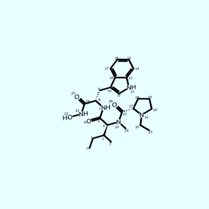 CCC(C)[C@@H](C(=O)N[C@@H](Cc1c[nH]c2ccccc12)C(=O)NO)N(C)C(=O)[C@@H]1CCCN1CC